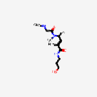 C/C(=C\C(C(C)C)N(C)C(=O)CNC=O)C(=O)NCCCO